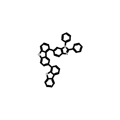 c1ccc(-c2nc3ccc(-c4cccc5oc6ccc(-c7cccc8c7oc7ccccc78)cc6c45)cc3n2-c2ccccc2)cc1